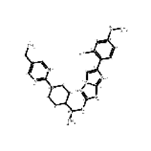 CCc1cnc(N2CCC([C@H](C)Oc3nn4cc(-c5ccc(SC)cc5F)nc4s3)CC2)nc1